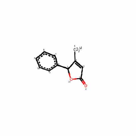 O=C1C=C(C(=O)O)C(c2ccccc2)O1